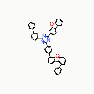 c1ccc(-c2cccc(-c3nc(-c4ccc(-c5cccc6c5oc5cccc(-c7ccccc7)c56)cc4)nc(-c4ccc5c(c4)oc4ccccc45)n3)c2)cc1